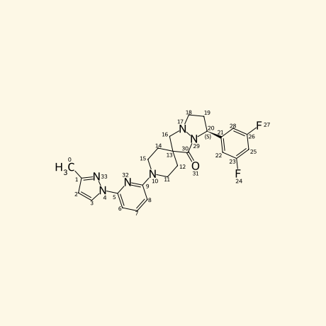 Cc1ccn(-c2cccc(N3CCC4(CC3)CN3CC[C@@H](c5cc(F)cc(F)c5)N3C4=O)n2)n1